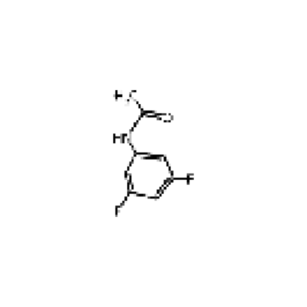 [CH2]C(=O)Nc1cc(F)cc(F)c1